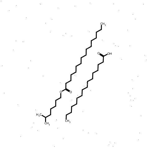 CCCCCCCCCCCCCCCC(=O)O.CCCCCCCCCCCCCCCC(=O)OCCCCCC(C)C